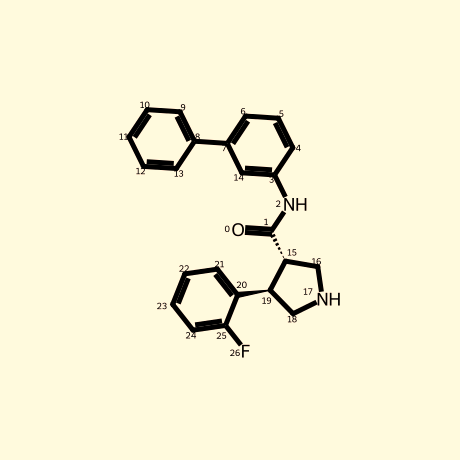 O=C(Nc1cccc(-c2ccccc2)c1)[C@@H]1CNC[C@H]1c1ccccc1F